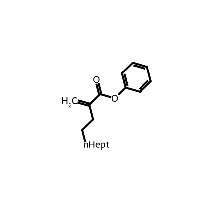 C=C(CCCCCCCCC)C(=O)Oc1ccccc1